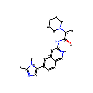 Cc1ncc(-c2ccc3cnc(NC(=O)C(C)N4CCCCC4)cc3c2)n1C